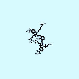 COS(=O)(=O)CCCC1(C)C(/C=C/C2=C(Cl)C(=C/C=C3/N(C(C)(C)CCO)c4ccc(S(=O)(=O)O)cc4C3(C)CCCS(=O)(=O)OC)/CCC2)=[N+](CCCCCC(=O)O)c2ccc(S(=O)(=O)OC)cc21